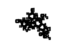 CCOc1cc(Cl)c(S(C)(=O)=O)cc1C1=N[C@@](C)(c2ccc(Cl)cc2)[C@@](C)(c2ccc(Cl)cc2)N1C(=O)Cl